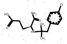 CC(C)(Cc1ccc(Cl)cc1)N[C@@H](CCC(=O)O)C(N)=O